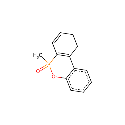 CP1(=O)Oc2ccccc2C2=C1C=CCC2